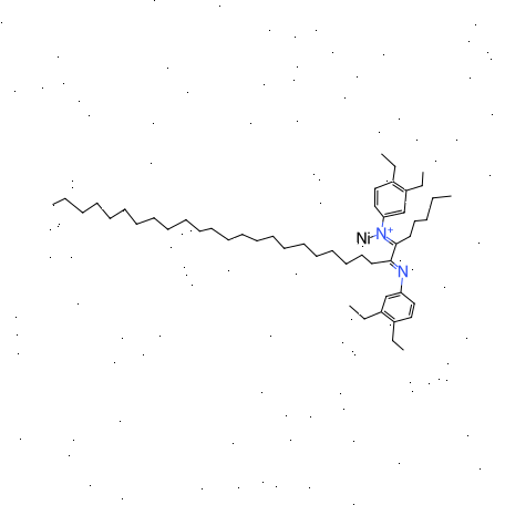 CCCCCCCCCCCCCCCCCCCCCCCC(=Nc1ccc(CC)c(CC)c1)C(CCCCC)=[N+]([Ni])c1ccc(CC)c(CC)c1